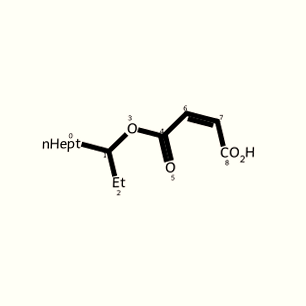 CCCCCCCC(CC)OC(=O)/C=C\C(=O)O